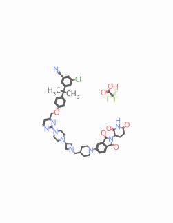 CC(C)(c1ccc(OCc2ccnc(N3CCN(C4CN(CC5CCN(c6ccc7c(c6)C(=O)N(C6CCC(=O)NC6=O)C7=O)CC5)C4)CC3)n2)cc1)c1cc(Cl)cc(C#N)c1.O=C(O)C(F)(F)F